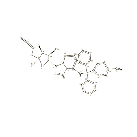 CC[C@@]1(CN=[N+]=[N-])O[C@@H](N2C=NC3C(NC(c4ccccc4)(c4ccccc4)c4ccc(OC)cc4)=NC=NC32)[C@H](F)[C@@H]1C